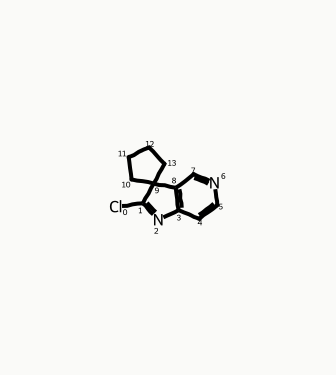 ClC1=Nc2ccncc2C12CCCC2